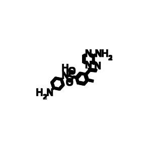 Cc1ccc(S(=O)(=O)N[C@H]2CC[C@H](N)CC2)cc1-c1cnc2c(N)nccn12